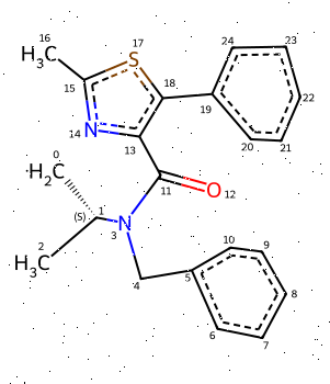 [CH2][C@@H](C)N(Cc1ccccc1)C(=O)c1nc(C)sc1-c1ccccc1